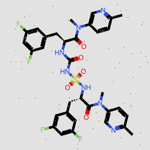 Cc1ccc(N(C)C(=O)[C@H](Cc2cc(F)cc(F)c2)NC(=O)NS(=O)(=O)N[C@@H](Cc2cc(F)cc(F)c2)C(=O)N(C)c2ccc(C)nc2)cn1